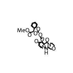 COC(=O)C(OC(=O)OCOc1c2n(ccc1=O)NC1COCCN1C2=O)c1ccccc1